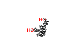 OCC1CC2C3CC(Cc4ccccc4-c4ccccc4CCc4ccccc4-c4ccccc4CC4CC5C6CC(CO)C(C6)C5C4)C(C3)C2C1